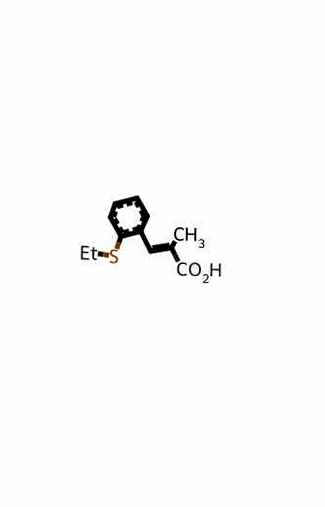 CCSc1ccccc1/C=C(\C)C(=O)O